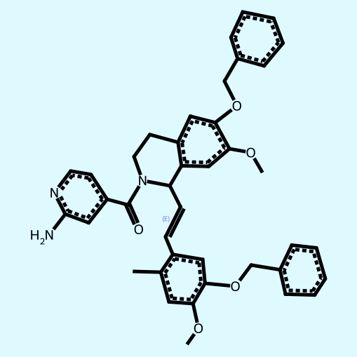 COc1cc(C)c(/C=C/C2c3cc(OC)c(OCc4ccccc4)cc3CCN2C(=O)c2ccnc(N)c2)cc1OCc1ccccc1